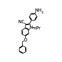 CCCn1c(-c2ccc(N)cc2)c(C#N)c2ccc(OCc3ccccc3)cc21